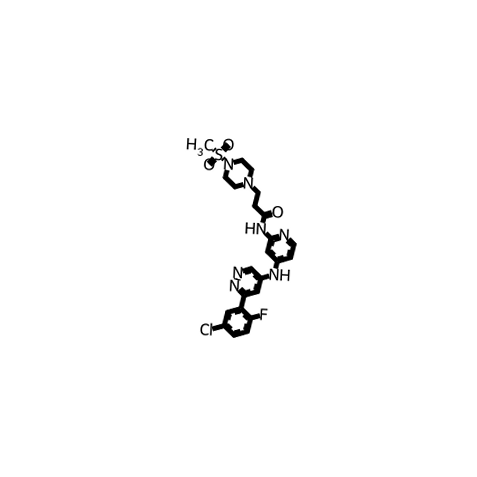 CS(=O)(=O)N1CCN(CCC(=O)Nc2cc(Nc3cnnc(-c4cc(Cl)ccc4F)c3)ccn2)CC1